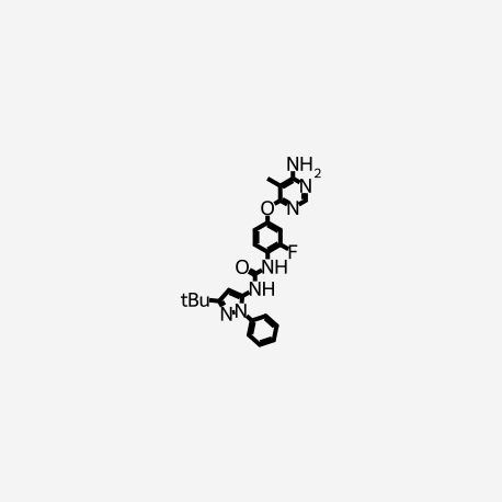 Cc1c(N)ncnc1Oc1ccc(NC(=O)Nc2cc(C(C)(C)C)nn2-c2ccccc2)c(F)c1